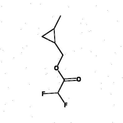 CC1CC1COC(=O)C(F)F